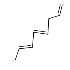 [CH]=CCC=CC=C[CH2]